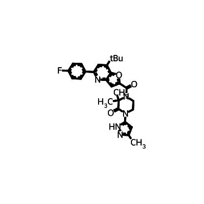 Cc1cc(N2CCN(C(=O)c3cc4nc(-c5ccc(F)cc5)cc(C(C)(C)C)c4o3)C(C)(C)C2=O)[nH]n1